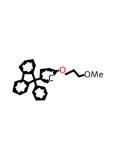 COCCCOc1ccc(C2(c3ccccc3)c3ccccc3-c3ccccc32)cc1